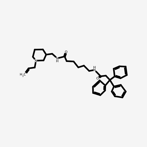 C=CCN1CCCC(CNC(=O)CCCCCNC(=O)CC(c2ccccc2)(c2ccccc2)c2ccccc2)C1